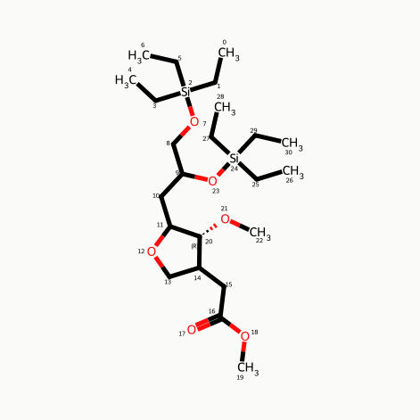 CC[Si](CC)(CC)OCC(CC1OCC(CC(=O)OC)[C@H]1OC)O[Si](CC)(CC)CC